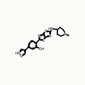 CN1CCC(Nc2nc3sc(-c4ccc(-c5cn[nH]c5)cc4O)nc3s2)CC1